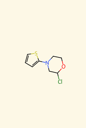 ClC1CN(c2cccs2)CCO1